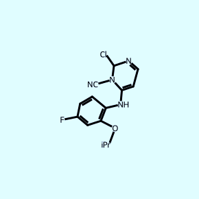 CC(C)Oc1cc(F)ccc1NC1=CC=NC(Cl)N1C#N